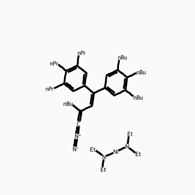 CCCCC(=C=[N+]=[N-])C=C(c1cc(CCC)c(CCC)c(CCC)c1)c1cc(CCCC)c(CCCC)c(CCCC)c1.CC[N](CC)[Ni][N](CC)CC